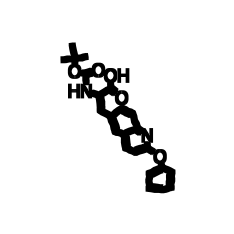 CC(C)(C)OC(=O)N/C(=C/c1ccc2nc(Oc3ccccc3)ccc2c1)C(=O)O